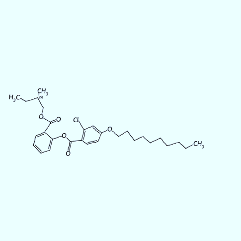 CCCCCCCCCCOc1ccc(C(=O)Oc2ccccc2C(=O)OC[C@@H](C)CC)c(Cl)c1